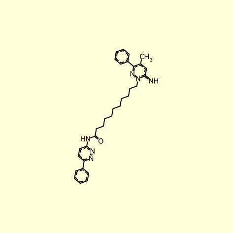 Cc1cc(=N)n(CCCCCCCCCCC(=O)Nc2ccc(-c3ccccc3)nn2)nc1-c1ccccc1